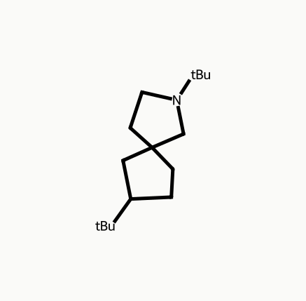 CC(C)(C)C1CCC2(CCN(C(C)(C)C)C2)C1